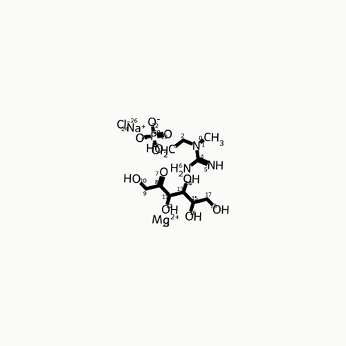 CN(CC(=O)O)C(=N)N.O=C(CO)C(O)C(O)C(O)CO.O=P([O-])([O-])O.[Cl-].[Mg+2].[Na+]